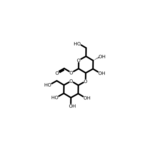 O=COC1OC(CO)[C@H](O)C(O)C1OC1OC(CO)C(O)C(O)C1O